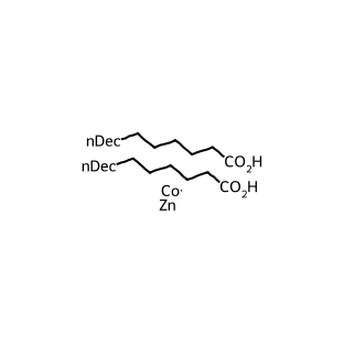 CCCCCCCCCCCCCCCC(=O)O.CCCCCCCCCCCCCCCC(=O)O.[Co].[Zn]